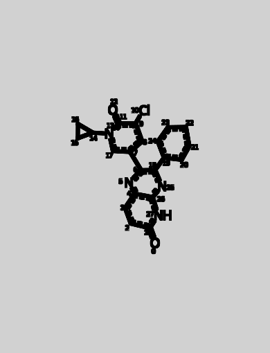 O=c1ccc2nc(-c3cc(Cl)c(=O)n(C4CC4)c3)c(-c3ccccc3)nc2[nH]1